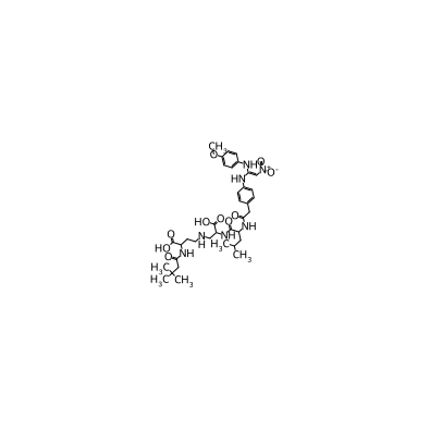 COc1ccc(NC(=C[N+](=O)[O-])Nc2ccc(CC(=O)NC(CC(C)C)C(=O)NC(CNCCC(NC(=O)CC(C)(C)C)C(=O)O)C(=O)O)cc2)cc1